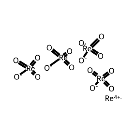 [O]=[Re](=[O])(=[O])[O-].[O]=[Re](=[O])(=[O])[O-].[O]=[Re](=[O])(=[O])[O-].[O]=[Re](=[O])(=[O])[O-].[Re+4]